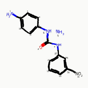 N.Nc1ccc(NC(=O)Nc2cccc([N+](=O)[O-])c2)cc1